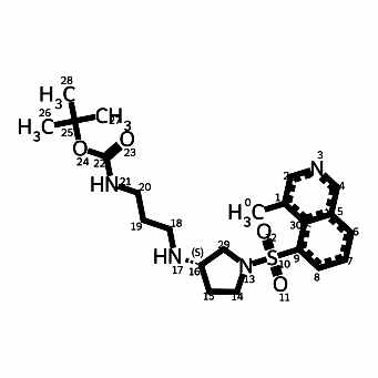 Cc1cncc2cccc(S(=O)(=O)N3CC[C@H](NCCCNC(=O)OC(C)(C)C)C3)c12